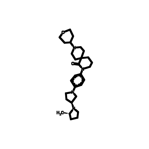 C[C@H]1CCCN1[C@H]1CCN(c2ccc(N3CCCC4(CCN(C5CCOCC5)CC4)C3=O)cc2)C1